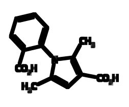 Cc1cc(C(=O)O)c(C)n1-c1ccccc1C(=O)O